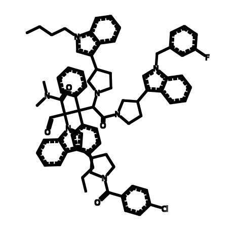 CCCCn1cc(C2CCN(C(C(=O)N3CCC(c4cn(Cc5cccc(F)c5)c5ccccc45)C3)C(c3ccccc3)(c3ccc(CCC)cc3)C(C=O)(C(=O)N(C)C)n3cc(C4CCN(C(=O)c5ccc(Cl)cc5)C4)c4ccccc43)C2)c2ccccc21